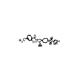 Cc1ccc(C(=O)NCC2(CC3CC3)CCN(S(=O)(=O)c3c[nH]nn3)CC2)c(Cl)c1